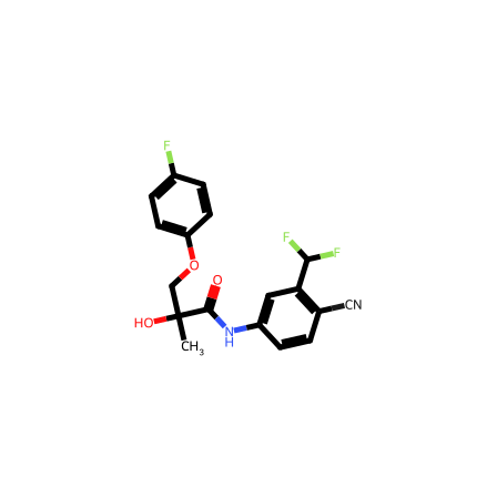 CC(O)(COc1ccc(F)cc1)C(=O)Nc1ccc(C#N)c(C(F)F)c1